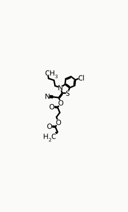 C=CC(=O)OCCC(=O)O/C(C#N)=C1\Sc2cc(Cl)ccc2N1CCCC